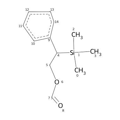 C[Si](C)(C)C(CO[C]=O)c1ccccc1